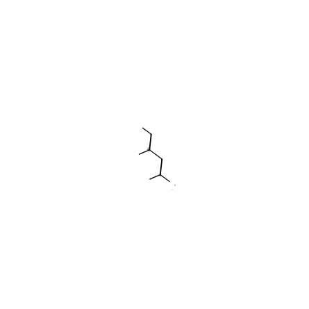 CCCC(O)CC(O)CO